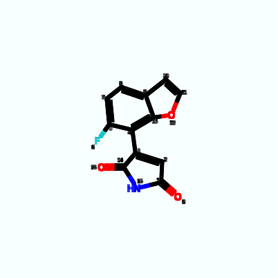 O=C1C=C(c2c(F)ccc3ccoc23)C(=O)N1